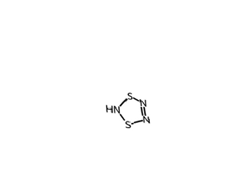 N1=NSNS1